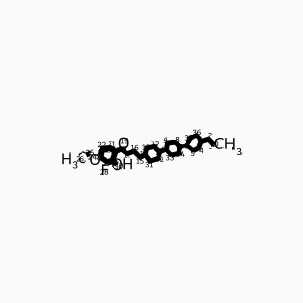 CCCC1CCC(C2CCC(C3CCC(CCCC(=O)c4ccc(OCC)c(F)c4O)CC3)CC2)CC1